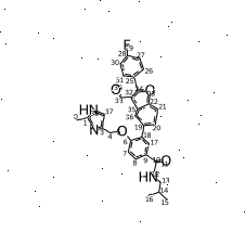 Cc1nc(COc2ccc(C(=O)NCC(C)C)cc2-c2ccc3oc(-c4ccc(F)cc4)c(C=O)c3c2)c[nH]1